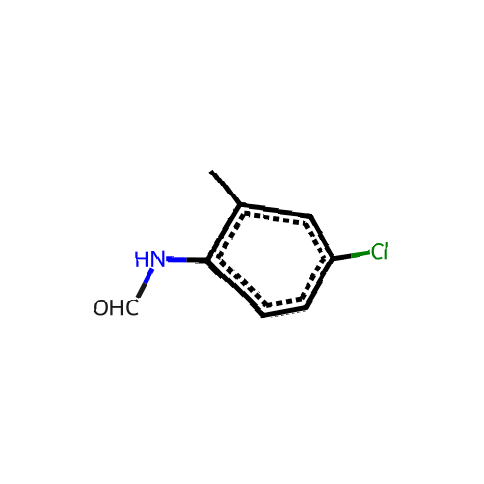 Cc1cc(Cl)ccc1NC=O